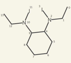 CCN(I)C1CCCCC1N(I)CC